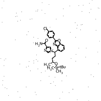 C[C@@H](CCC(c1cccc2oc(-c3ccc(Cl)cc3)nc12)n1cnc(C(N)=O)c1)O[Si](C)(C)C(C)(C)C